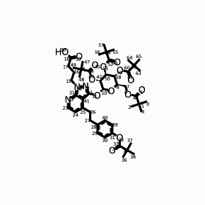 CC(C)(C)C(=O)OC[C@H]1O[C@@H](Oc2nn(CCCC(=O)O)c3nccc(CCc4ccc(OC(=O)C(C)(C)C)cc4)c23)[C@H](OC(=O)C(C)(C)C)[C@@H](OC(=O)C(C)(C)C)[C@@H]1OC(=O)C(C)(C)C